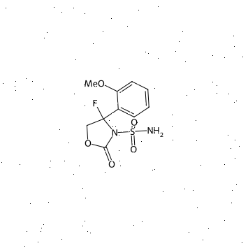 COc1ccccc1C1(F)COC(=O)N1S(N)(=O)=O